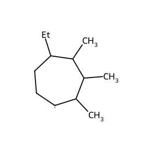 CCC1CC[CH]C(C)C(C)C1C